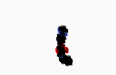 O=c1cc(CN2CCc3ccccc3C2)occ1OCC1CC2(C1)CN(c1ncccn1)C2